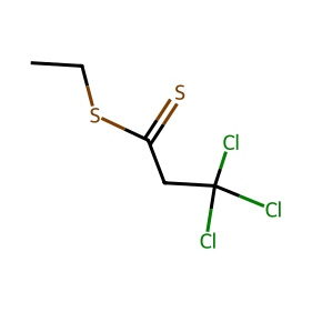 CCSC(=S)CC(Cl)(Cl)Cl